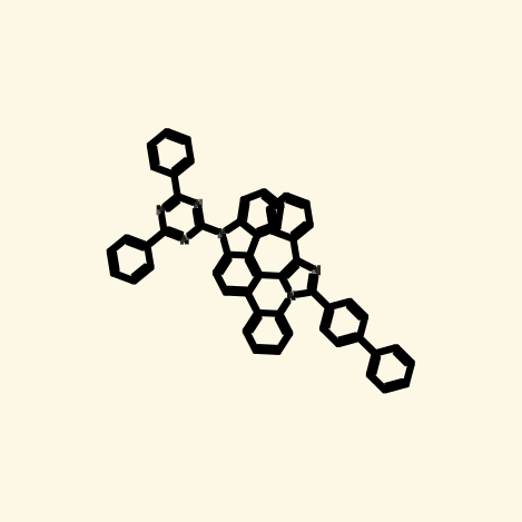 c1ccc(-c2ccc(-c3nc(-c4ccccc4)c4c5c(ccc6c5c5ccccc5n6-c5nc(-c6ccccc6)nc(-c6ccccc6)n5)c5ccccc5n34)cc2)cc1